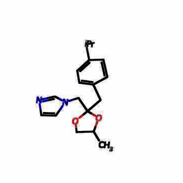 CC1COC(Cc2ccc(C(C)C)cc2)(Cn2ccnc2)O1